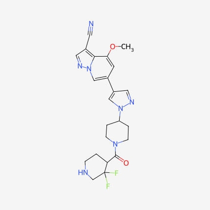 COc1cc(-c2cnn(C3CCN(C(=O)C4CCNCC4(F)F)CC3)c2)cn2ncc(C#N)c12